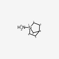 N[Si]12CCC(CC1)C2